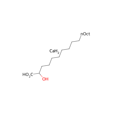 CCCCCCCCCCCCCCCCC(O)C(=O)O.[CaH2]